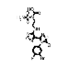 NS(=O)(=O)N(CCNc1nonc1-c1noc(=O)n1-c1ccc(F)c(Br)c1)C(=O)O